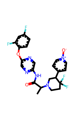 CC(C(=O)Nc1cnc(Oc2ccc(F)cc2F)cn1)N1CCC(F)(F)C(c2cc[n+]([O-])cc2)C1